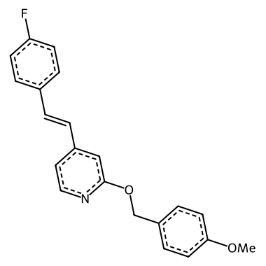 COc1ccc(COc2cc(/C=C/c3ccc(F)cc3)ccn2)cc1